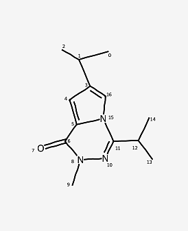 CC(C)c1cc2c(=O)n(C)nc(C(C)C)n2c1